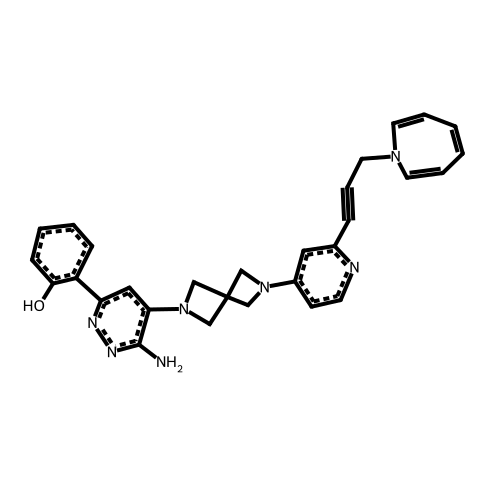 Nc1nnc(-c2ccccc2O)cc1N1CC2(CN(c3ccnc(C#CCN4C=CC=CC=C4)c3)C2)C1